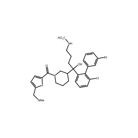 CCc1cccc(-c2c(Cl)cccc2C(O)(CCCNC(=O)O)C2CCCN(C(=O)c3ccc(CNC)s3)C2)c1